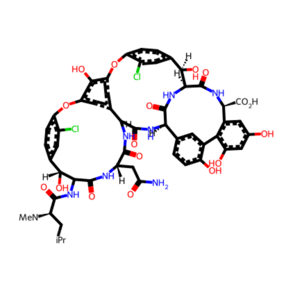 CN[C@H](CC(C)C)C(=O)NC1C(=O)N[C@@H](CC(N)=O)C(=O)N[C@H]2C(=O)N[C@H]3C(=O)N[C@H](C(=O)N[C@@H](C(=O)O)c4cc(O)cc(O)c4-c4cc3ccc4O)[C@H](O)c3ccc(c(Cl)c3)Oc3cc2cc(c3O)Oc2ccc(cc2Cl)[C@H]1O